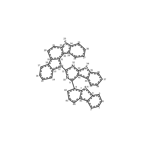 c1ccc2c(c1)sc1c(-c3nc(-n4c5ccccc5c5ccc6sc7ccccc7c6c54)nc4sc5ccccc5c34)cccc12